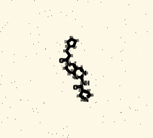 O=C(NC1N=CC2=CN(C(=O)CCC3CCCC3)CCC2=N1)c1ccncc1